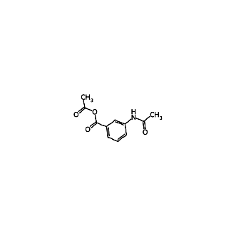 CC(=O)Nc1cccc(C(=O)OC(C)=O)c1